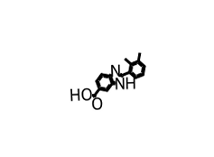 Cc1cccc(-c2nc3ccc(C(=O)O)cc3[nH]2)c1C